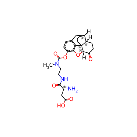 CN(CCNC(=O)[C@H](N)CC(=O)O)C(=O)Oc1ccc2c3c1O[C@H]1C(=O)CC[C@H]4[C@H](CCC[C@]314)C2